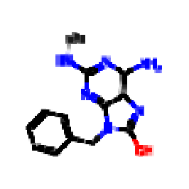 CCCCNc1nc(N)c2nc(O)n(Cc3ccccc3)c2n1